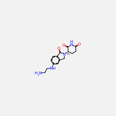 NCCNc1ccc2c(c1)CN([C@@H]1CCC(=O)NC1=O)C2=O